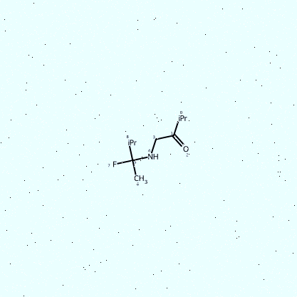 CC(C)C(=O)CNC(C)(F)C(C)C